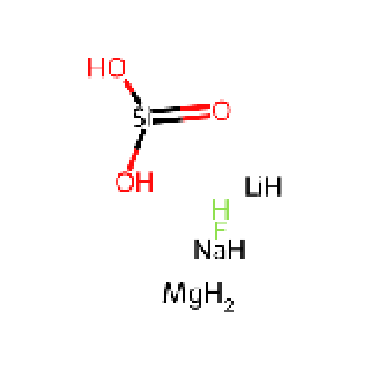 F.O=[Si](O)O.[LiH].[MgH2].[NaH]